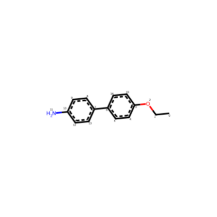 CCOc1ccc(-c2ccc(N)cc2)cc1